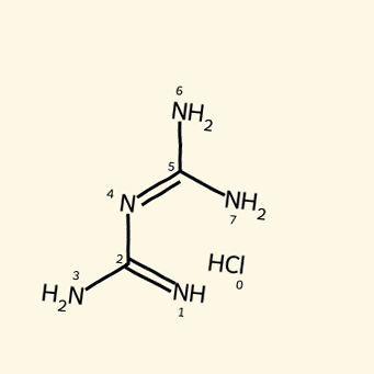 Cl.N=C(N)N=C(N)N